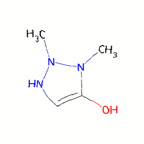 CN1NC=C(O)N1C